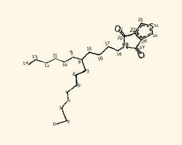 CCCCCCCCC(CCCCCC)CCCCN1C(=O)c2cscc2C1=O